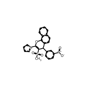 CS(=O)(=O)C1=C(n2cccc2)Oc2c(ccc3ccccc23)C1c1cccc([N+](=O)[O-])c1